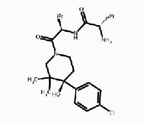 CC(C)[C@H](N)C(=O)N[C@@H](C(=O)N1CC[C@](O)(c2ccc(Cl)cc2)C(C)(C)C1)C(C)C